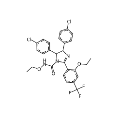 CCONC(=O)N1C(c2ccc(C(F)(F)F)cc2OCC)=NC(c2ccc(Cl)cc2)C1c1ccc(Cl)cc1